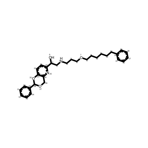 OC(CNCCCOCCCCCCc1ccccc1)c1ccc2c(n1)COC(c1ccccc1)O2